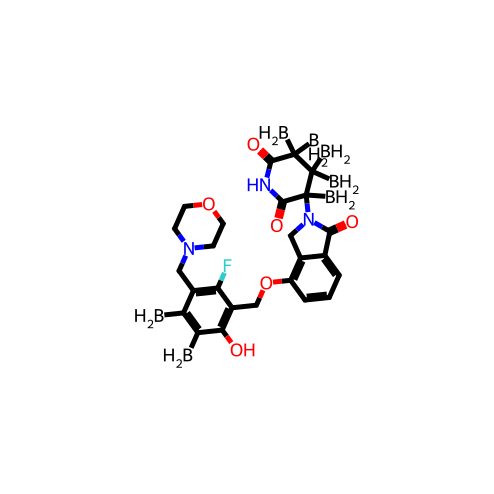 Bc1c(B)c(CN2CCOCC2)c(F)c(COc2cccc3c2CN(C2(B)C(=O)NC(=O)C(B)(B)C2(B)B)C3=O)c1O